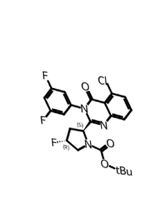 CC(C)(C)OC(=O)N1C[C@H](F)C[C@H]1c1nc2cccc(Cl)c2c(=O)n1-c1cc(F)cc(F)c1